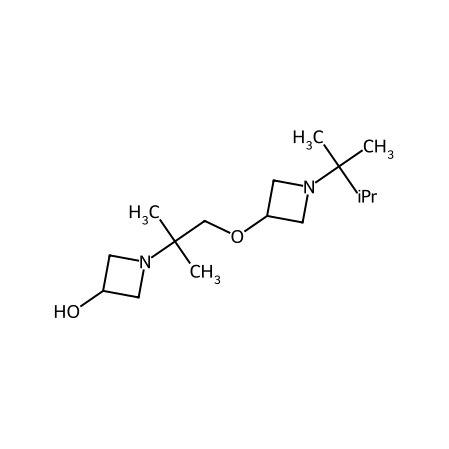 CC(C)C(C)(C)N1CC(OCC(C)(C)N2CC(O)C2)C1